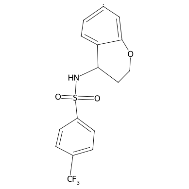 O=S(=O)(NC1CCOc2c[c]ccc21)c1ccc(C(F)(F)F)cc1